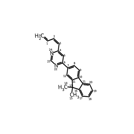 C=C/C=C\c1cc(-c2ccc3c(c2)C(C)(C)c2ccccc2-3)ncn1